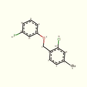 CC(C)(C)c1ccc(COc2cccc(F)c2)c(Cl)c1